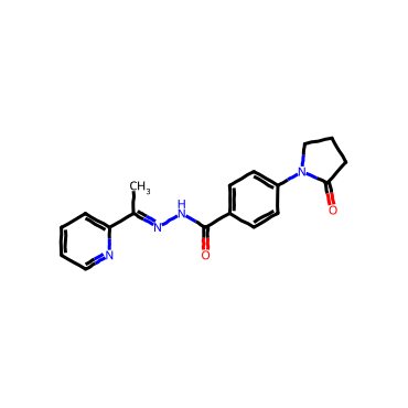 C/C(=N\NC(=O)c1ccc(N2CCCC2=O)cc1)c1ccccn1